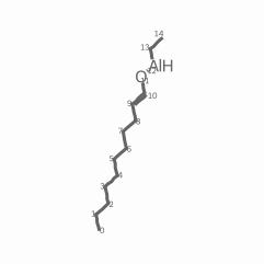 CCCCCCCCC/C=C/[O][AlH][CH2]C